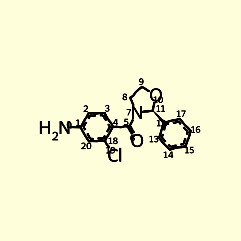 Nc1ccc(C(=O)N2CCO[C@H]2c2ccccc2)c(Cl)c1